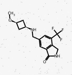 CO[C@H]1C[C@@H](NCc2cc3c(c(C(F)(F)F)c2)CNC3=O)C1